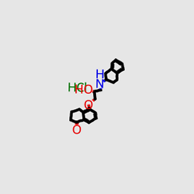 Cl.O=C1CCCc2c(OCC(O)CNC3CCc4ccccc4C3)cccc21